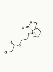 O=C(CCl)OCCOC1C2CC3C(=O)OC1C3C2